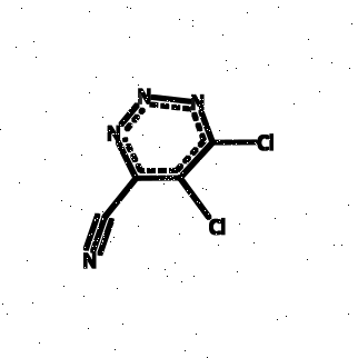 N#Cc1nnnc(Cl)c1Cl